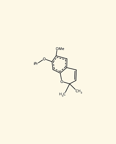 COc1cc2c(cc1OC(C)C)OC(C)(C)C=C2